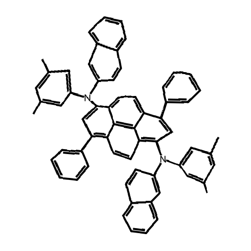 Cc1cc(C)cc(N(c2ccc3ccccc3c2)c2cc(-c3ccccc3)c3ccc4c(N(c5cc(C)cc(C)c5)c5ccc6ccccc6c5)cc(-c5ccccc5)c5ccc2c3c54)c1